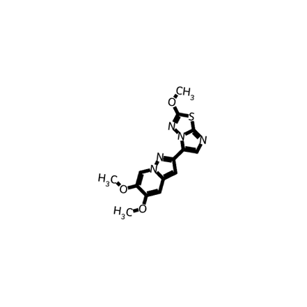 COc1nn2c(-c3cc4cc(OC)c(OC)cn4n3)cnc2s1